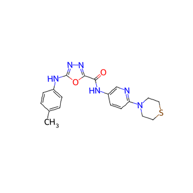 Cc1ccc(Nc2nnc(C(=O)Nc3ccc(N4CCSCC4)nc3)o2)cc1